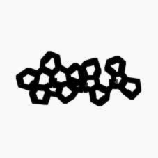 C1=Cc2c(c3ccccc3n2-c2cccc3c2c2ccccc2n3C2=Cc3c(c4ccccc4n3-c3c(-c4ccccc4)cccc3-c3ccccc3)CC2)CC1